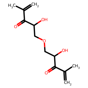 C=C(C)C(=O)C(O)COCC(O)C(=O)C(=C)C